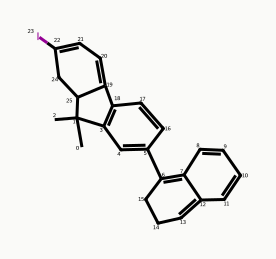 CC1(C)c2cc(C3=c4ccccc4=CCC3)ccc2C2=CC=C(I)CC21